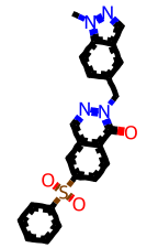 Cn1ncc2cc(Cn3ncc4cc(S(=O)(=O)c5ccccc5)ccc4c3=O)ccc21